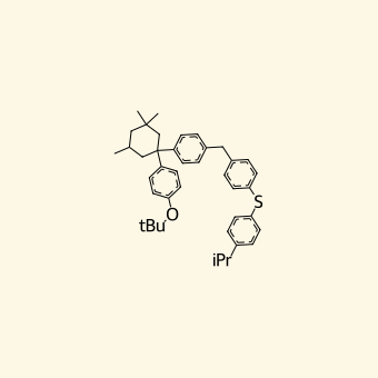 CC1CC(C)(C)CC(c2ccc(Cc3ccc(Sc4ccc(C(C)C)cc4)cc3)cc2)(c2ccc(OC(C)(C)C)cc2)C1